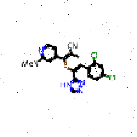 CNc1cc(/C(S/C(=C/c2ccc(Cl)cc2Cl)c2nnc[nH]2)=C(/C)C#N)ccn1